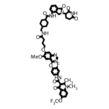 COc1cc2c(Oc3ccc(NC(=O)c4c(C)n(C)c5ccc(OC(F)(F)F)cc5c4=O)cc3F)ncnc2cc1OCCCC(=O)NCC1CCC(C(=O)Nc2cccc3c2CN(C2CCC(=O)NC2=O)C3=O)CC1